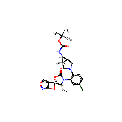 C[C@H]1N(c2cc(F)ccc2N2CC3[C@H](C2)[C@H]3NC(=O)OC(C)(C)C)C(=O)O[C@@]12Oc1nocc12